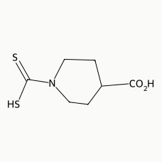 O=C(O)C1CCN(C(=S)S)CC1